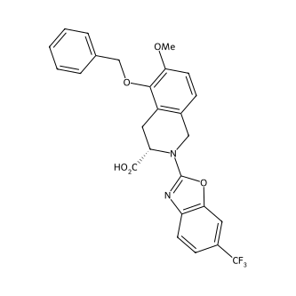 COc1ccc2c(c1OCc1ccccc1)C[C@@H](C(=O)O)N(c1nc3ccc(C(F)(F)F)cc3o1)C2